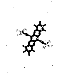 Cc1c(C)c(C)c2cc3c(C#C[Si](C(C)C)(C(C)C)C(C)C)c4cc5c(C)c(C)c(C)c(C)c5cc4c(C#C[Si](C(C)C)(C(C)C)C(C)C)c3cc2c1C